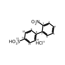 Cl.O=[N+]([O-])c1ccccc1-c1ccc(S(=O)(=O)O)cc1